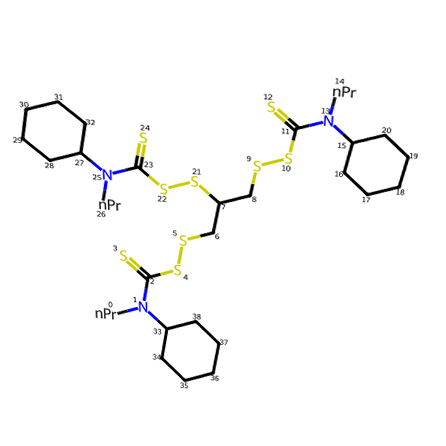 CCCN(C(=S)SSCC(CSSC(=S)N(CCC)C1CCCCC1)SSC(=S)N(CCC)C1CCCCC1)C1CCCCC1